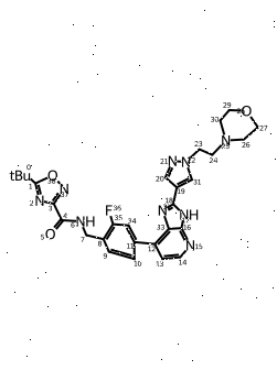 CC(C)(C)c1nc(C(=O)NCc2ccc(-c3ccnc4[nH]c(-c5cnn(CCN6CCOCC6)c5)nc34)cc2F)no1